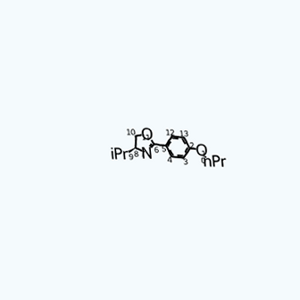 CCCOc1ccc(C2=N[C@@H](C(C)C)CO2)cc1